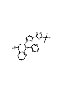 NC(=O)c1nccnc1N(Cc1ccc(-c2noc(C(F)(F)F)n2)s1)c1cnccn1